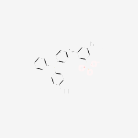 Cc1ccc([S+](c2ccccc2)c2ccccc2)cc1.O=[N+]([O-])c1cc([N+](=O)[O-])cc(S(=O)(=O)[O-])c1